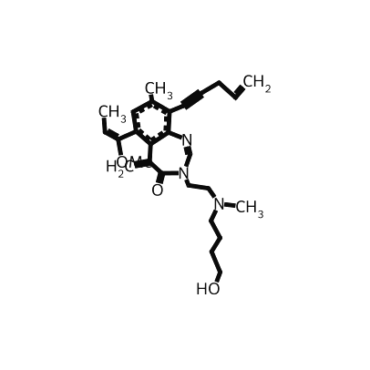 C=CCC#Cc1c(C)cc(/C(=C\C)OC)c2c1N=CN(CCN(C)CCCCO)C(=O)C2=C